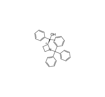 CC(O)(c1ccccc1)[C@@H]1CCN1C(c1ccccc1)(c1ccccc1)c1ccccc1